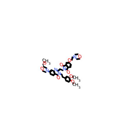 COC[C@H]1CN(c2ccc3c(=O)n(CCc4ccc(OC)c(OC)c4)c(CCN4C(=O)c5ccc(OCCN6CCOCC6)cc5C4=O)nc3c2)CCO1